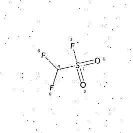 O=S(=O)(F)[C](F)F